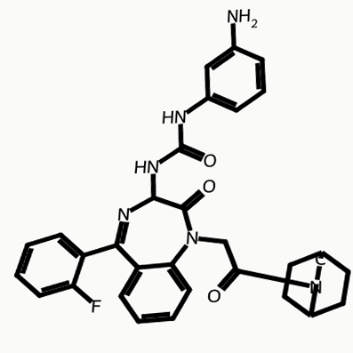 Nc1cccc(NC(=O)NC2N=C(c3ccccc3F)c3ccccc3N(CC(=O)N3CC4CCC(CC4)C3)C2=O)c1